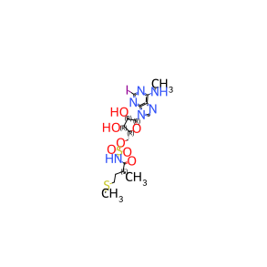 CNc1nc(I)nc2c1ncn2[C@@H]1O[C@H](COS(=O)(=O)NC(=O)[C@@H](C)CCSC)[C@H](O)[C@H]1O